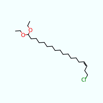 CCOC(CCCCCCCCCCCCC/C=C\CCCl)OCC